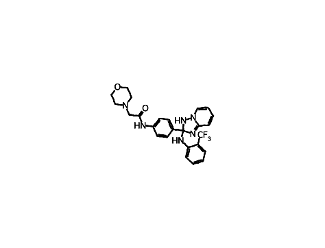 O=C(CN1CCOCC1)Nc1ccc(C2(Nc3ccccc3C(F)(F)F)N=C3C=CC=CN3N2)cc1